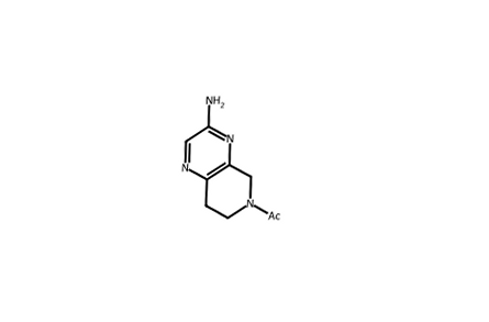 CC(=O)N1CCc2ncc(N)nc2C1